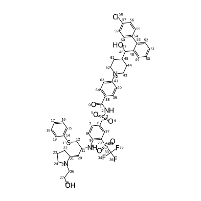 O=C(NS(=O)(=O)c1ccc(NC(CSc2ccccc2)C[C@@H]2CCCN2CCO)c(S(=O)(=O)C(F)(F)F)c1)c1ccc(N2CCC(C(O)c3ccccc3-c3ccc(Cl)cc3)CC2)cc1